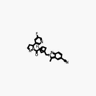 Cc1c2cc(C#N)ccc2nn1CC12CC(C1)[C@@H](C(=O)N1N=CCC1c1cncc(F)c1)C2